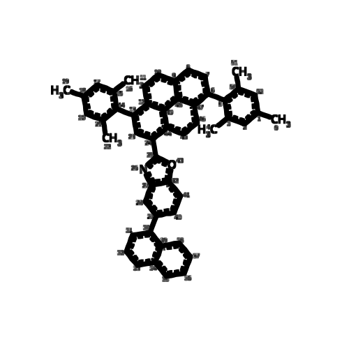 Cc1cc(C)c(-c2ccc3ccc4c(-c5c(C)cc(C)cc5C)cc(-c5nc6cc(-c7cccc8ccccc78)ccc6o5)c5ccc2c3c54)c(C)c1